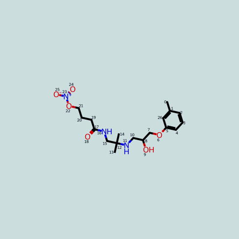 Cc1cccc(OCC(O)CNC(C)(C)CNC(=O)CCCO[N+](=O)[O-])c1